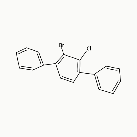 Clc1c(-c2ccccc2)ccc(-c2ccccc2)c1Br